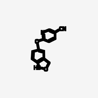 N#Cc1ccc(Oc2ccc3c(c2)COB3)nc1